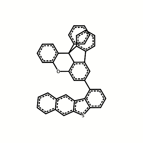 c1ccc(C23c4ccccc4Oc4cc(-c5cccc6sc7cc8ccccc8cc7c56)cc(c42)-c2ccccc23)cc1